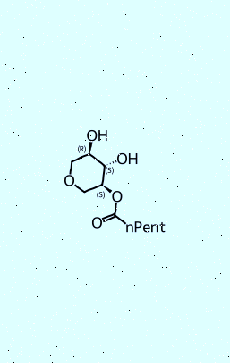 CCCCCC(=O)O[C@H]1COC[C@@H](O)[C@@H]1O